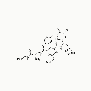 CCNC(=O)[C@@H](Cc1ccccc1)NC(=O)[C@H](Cc1c[nH]cn1)NC(=O)[C@H](CCC(=O)NC[C@H](N)C(=O)NCC(=O)O)NC(=O)CNC(C)=O